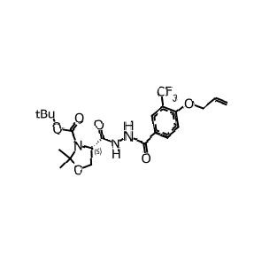 C=CCOc1ccc(C(=O)NNC(=O)[C@@H]2COC(C)(C)N2C(=O)OC(C)(C)C)cc1C(F)(F)F